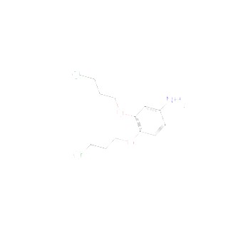 Nc1ccc(OCCCCl)c(OCCCCl)c1